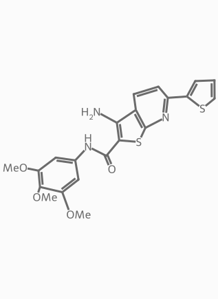 COc1cc(NC(=O)c2sc3nc(-c4cccs4)ccc3c2N)cc(OC)c1OC